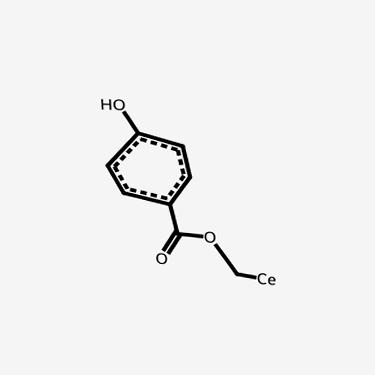 O=C(O[CH2][Ce])c1ccc(O)cc1